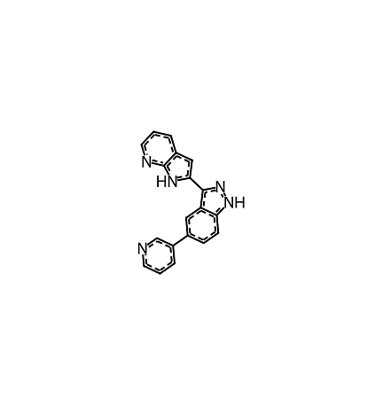 c1cncc(-c2ccc3[nH]nc(-c4cc5cccnc5[nH]4)c3c2)c1